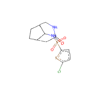 O=C1CC2CCC(CN1)C2NS(=O)(=O)c1ccc(Cl)s1